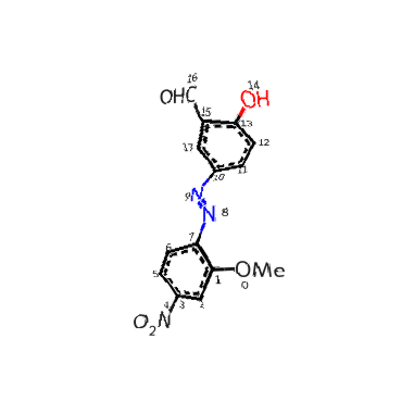 COc1cc([N+](=O)[O-])ccc1N=Nc1ccc(O)c(C=O)c1